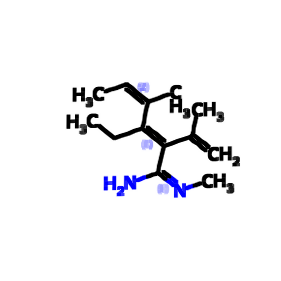 C=C(C)C(/C(N)=N\C)=C(CC)\C(C)=C/C